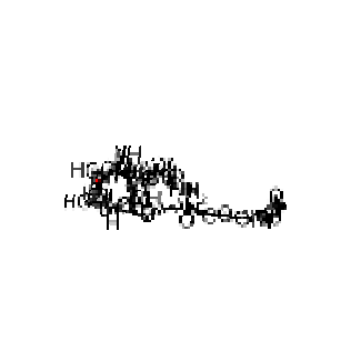 CC[C@H](C)[C@H](NC(=O)CN)C(=O)NCC(=O)NC1C[S+]([O-])c2[nH]c3c(CSCCCCNC(=O)NCCOCCOCCOCCn4cc(CN5C(=O)C=CC5=O)nn4)c(OC)ccc3c2C[C@@H](C)NC(=O)[C@H]([C@@H](C)[C@@H](O)CO)NC(=O)[C@@H]2C[C@@H](O)CN2C(=O)[C@H](CC(N)=O)NC1=O